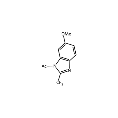 COc1ccc2nc(C(F)(F)F)n(C(C)=O)c2c1